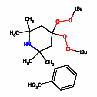 CC1(C)CC(OOC(C)(C)C)(OOC(C)(C)C)CC(C)(C)N1.O=C(O)c1ccccc1